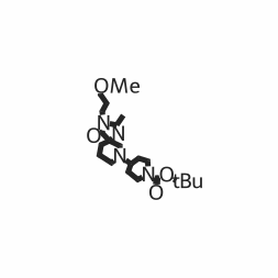 COCCCN1C(=O)C2(CCCN(C3CCN(C(=O)OC(C)(C)C)CC3)C2)N=C1C